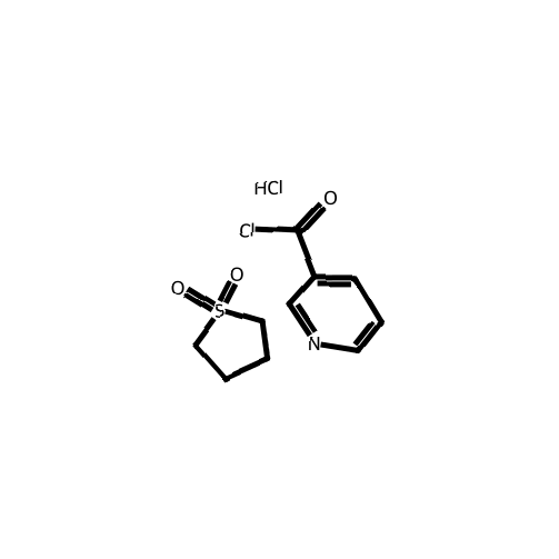 Cl.O=C(Cl)c1cccnc1.O=S1(=O)CCCC1